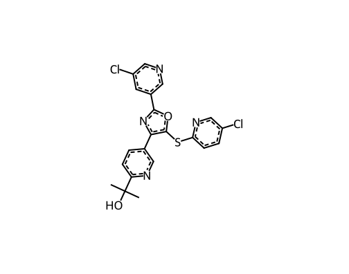 CC(C)(O)c1ccc(-c2nc(-c3cncc(Cl)c3)oc2Sc2ccc(Cl)cn2)cn1